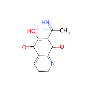 CC(=N)C1=C(O)C(=O)c2cccnc2C1=O